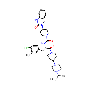 Cc1cc(CC(NC(=O)N2CCC(N3Cc4ccccc4NC3=O)CC2)C(=O)N2CCC(N3CCN(C(C(=O)O)C(C)(C)C)CC3)CC2)ccc1Cl